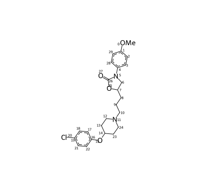 COc1ccc(N2CC(CCCN3CCC(Oc4ccc(Cl)cc4)CC3)OC2=O)cc1